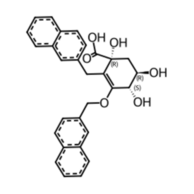 O=C(O)[C@@]1(O)C[C@@H](O)[C@H](O)C(OCc2ccc3ccccc3c2)=C1Cc1ccc2ccccc2c1